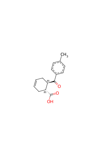 Cc1ccc(C(=O)[C@@H]2CC=CC[C@H]2C(=O)O)cc1